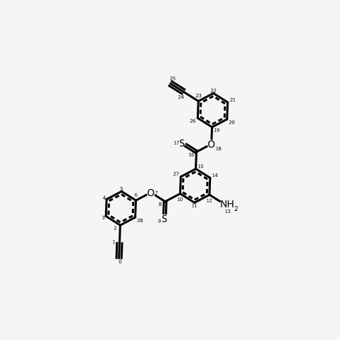 C#Cc1cccc(OC(=S)c2cc(N)cc(C(=S)Oc3cccc(C#C)c3)c2)c1